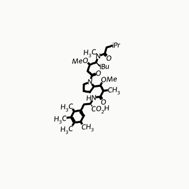 CCC(C)[C@@H](C(CC(=O)N1CCCC1C(OC)C(C)C(=O)N[C@@H](CC1=CC(C)C(C)=C(C)C1C)C(=O)O)OC)N(C)C(=O)CC(C)C